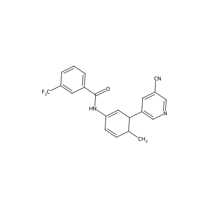 CC1C=CC(NC(=O)c2cccc(C(F)(F)F)c2)=CC1c1cncc(C#N)c1